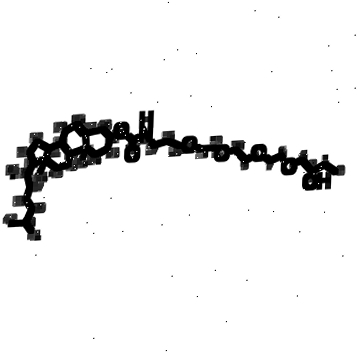 CCC(O)COCCOCCOCCOCCCNC(=O)O[C@H]1CC[C@@]2(C)C(=CCC3C4CCC([C@@H](C)CCCC(C)C)[C@@]4(C)CCC32)C1